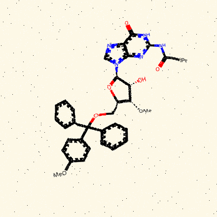 COc1ccc(C(OC[C@H]2O[C@@H](n3cnc4c(=O)[nH]c(NC(=O)C(C)C)nc43)[C@H](O)[C@@H]2OC)(c2ccccc2)c2ccccc2)cc1